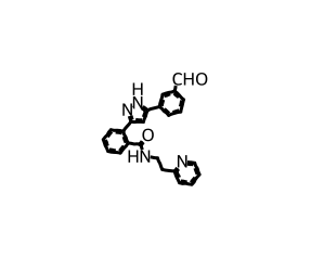 O=Cc1cccc(-c2cc(-c3ccccc3C(=O)NCCc3ccccn3)n[nH]2)c1